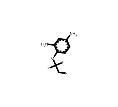 Nc1ccc(OC(F)(F)CF)c(N)c1